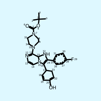 CC(C)(C)OC(=O)N1CCN(C2=NC=CN3C(C4C=CC(O)=CC4)=C(c4ccc(F)cc4)NC23)CC1